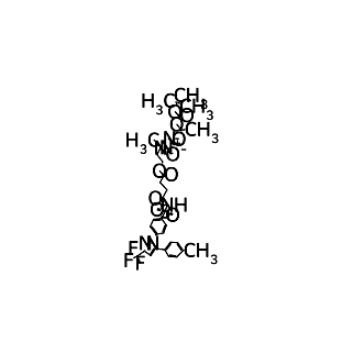 Cc1ccc(-c2cc(C(F)(F)F)nn2-c2ccc(S(=O)(=O)NC(=O)CCC(=O)OCCN(C)/[N+]([O-])=N/OC(C)OC(=O)OC(C)(C)C)cc2)cc1